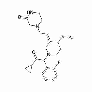 CC(=O)SC1CCN(C(C(=O)C2CC2)c2ccccc2F)CC1=CCN1CCNC(=O)C1